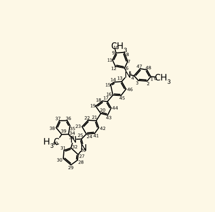 Cc1ccc(N(c2ccc(C)cc2)c2ccc(-c3ccc(-c4ccc(-c5nc6ccccc6n5C5C=CC=CC5C)cc4)cc3)cc2)cc1